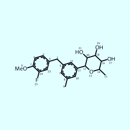 COc1ccc(Cc2cc(C)cc(C3OC(C)C(O)C(O)C3O)c2)cc1F